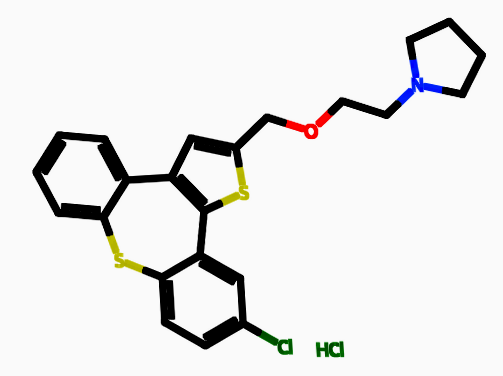 Cl.Clc1ccc2c(c1)-c1sc(COCCN3CCCC3)cc1-c1ccccc1S2